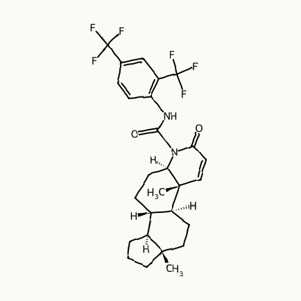 C[C@@]12CCC[C@H]1[C@@H]1CC[C@H]3N(C(=O)Nc4ccc(C(F)(F)F)cc4C(F)(F)F)C(=O)C=C[C@]3(C)[C@H]1CC2